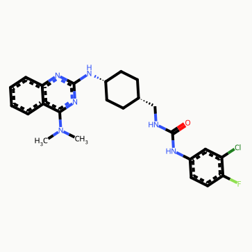 CN(C)c1nc(N[C@H]2CC[C@@H](CNC(=O)Nc3ccc(F)c(Cl)c3)CC2)nc2ccccc12